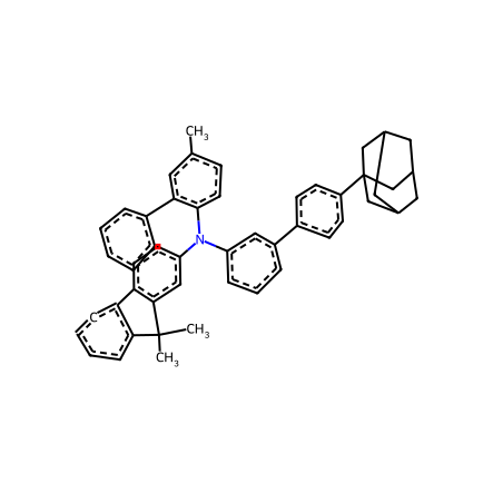 Cc1ccc(N(c2cccc(-c3ccc(C45CC6CC(CC(C6)C4)C5)cc3)c2)c2ccc3c(c2)C(C)(C)c2ccccc2-3)c(-c2ccccc2)c1